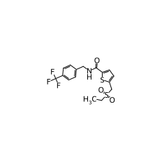 CCS(=O)(=O)Cc1ccc(C(=O)NCc2ccc(C(F)(F)F)cc2)s1